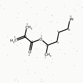 C=C(C)C(=O)OC(C)CCCC(C)C